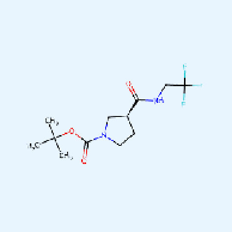 CC(C)(C)OC(=O)N1CC[C@H](C(=O)NCC(F)(F)F)C1